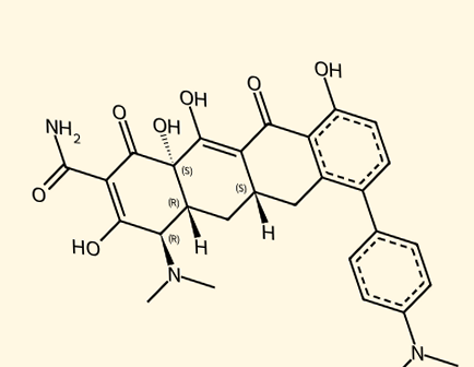 CN(C)c1ccc(-c2ccc(O)c3c2C[C@@H]2C[C@@H]4[C@@H](N(C)C)C(O)=C(C(N)=O)C(=O)[C@@]4(O)C(O)=C2C3=O)cc1